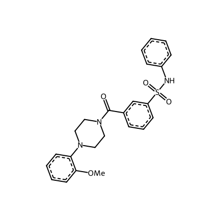 COc1ccccc1N1CCN(C(=O)c2cccc(S(=O)(=O)Nc3ccccc3)c2)CC1